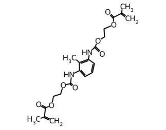 C=C(C)C(=O)OCCOC(=O)Nc1cccc(NC(=O)OCCOC(=O)C(=C)C)c1C